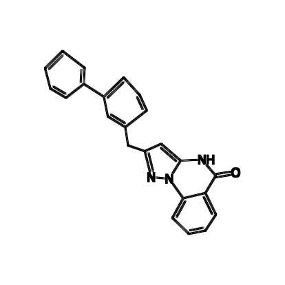 O=c1[nH]c2cc(Cc3cccc(-c4ccccc4)c3)nn2c2ccccc12